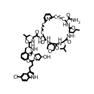 CC[C@H](C)[C@@H]1NC(=O)[C@H](CC(C)C)NC(=O)C2(CCOCC2)NC(=O)[C@@H](NC(=O)[C@@H](CC(C)C)NC(=O)[C@H](Cc2ccccc2)NC(=O)[C@@H]2C[C@@H](O)CN2C(=O)CCc2c[nH]c3ccc(Cl)cc23)CSCc2cccc(n2)CSC[C@@H](C(N)=O)NC1=O